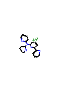 Cl.Cl.c1ccc(-c2cccc(N(c3ccccn3)c3ccccn3)n2)nc1